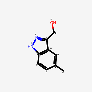 Cc1ccc2[nH]nc(CO)c2c1